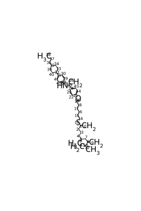 C=C(CCCC(C)CC(=C)C(=C)C)SCCCCCCOc1ccc(C(=C)Nc2ccc(C3CCC(CCC)CC3)cc2)cc1